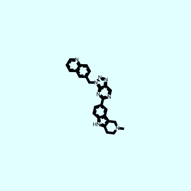 CN1CCc2[nH]c3ccc(-c4ncc5nnn(Cc6ccc7ncccc7c6)c5n4)cc3c2C1